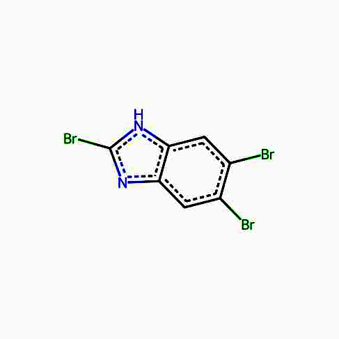 Brc1nc2cc(Br)c(Br)cc2[nH]1